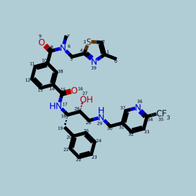 Cc1csc(CN(C)C(=O)c2cccc(C(=O)N[C@@H](Cc3ccccc3)[C@H](O)CNCc3ccc(C(F)(F)F)nc3)c2)n1